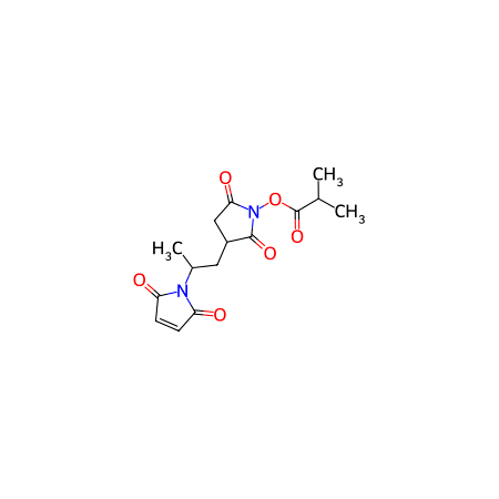 CC(C)C(=O)ON1C(=O)CC(CC(C)N2C(=O)C=CC2=O)C1=O